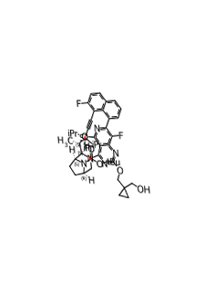 CC(C)[Si](C#Cc1c(F)ccc2cccc(-c3nc4c5c(nc(OCC6(CO)CC6)nc5c3F)N3C[C@H]5CC[C@@H]([C@H]3[C@H](C)O4)N5C(=O)OC(C)(C)C)c12)(C(C)C)C(C)C